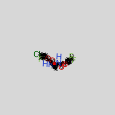 O=C(COc1ccc(C(F)F)cc1)NC1CC(NC(=O)COc2ccc(Cl)c(F)c2)C2CC1C2